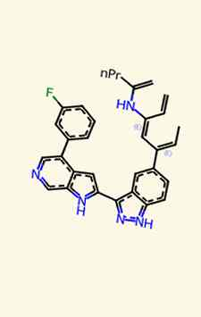 C=C/C(=C\C(=C/C)c1ccc2[nH]nc(-c3cc4c(-c5cccc(F)c5)cncc4[nH]3)c2c1)NC(=C)CCC